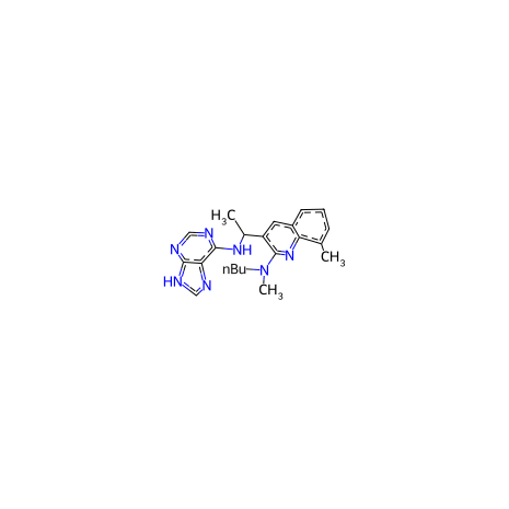 CCCCN(C)c1nc2c(C)cccc2cc1C(C)Nc1ncnc2[nH]cnc12